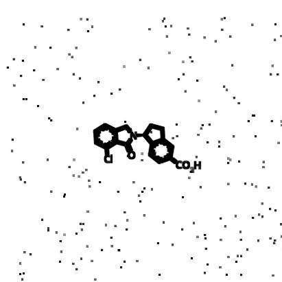 O=C(O)c1ccc2c(c1)CC[C@@H]2N1Cc2cccc(Cl)c2C1=O